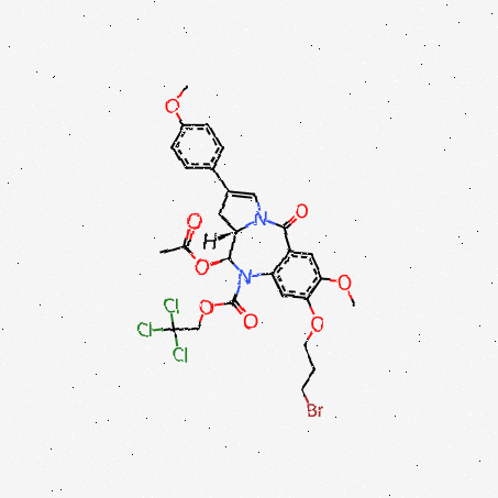 COc1ccc(C2=CN3C(=O)c4cc(OC)c(OCCCBr)cc4N(C(=O)OCC(Cl)(Cl)Cl)[C@@H](OC(C)=O)[C@@H]3C2)cc1